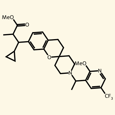 COC(=O)C(C)C(c1ccc2c(c1)OC1(CC2)CCN(C(C)c2cc(C(F)(F)F)cnc2OC)CC1)C1CC1